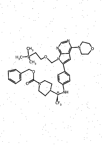 C[Si](C)(C)CCOCn1c(-c2ccc(N[C@H](C3CCN(C(=O)OCc4ccccc4)CC3)C(F)(F)F)cc2)cc2c(N3CCOCC3)ncnc21